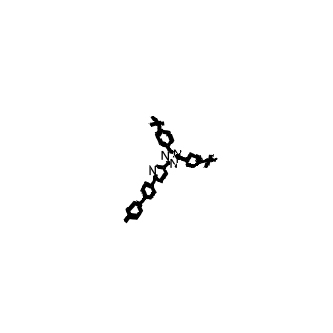 Cc1ccc(-c2ccc(-c3ccc(-c4nc(-c5ccc(C(C)(C)C)cc5)nc(-c5ccc(C(C)(C)C)cc5)n4)cn3)cc2)cc1